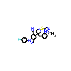 Cn1ncc(SN2CCC(Cc3ccccc3)(c3cc4cnn(-c5ccc(F)cc5)c4cc3C#N)C2)n1